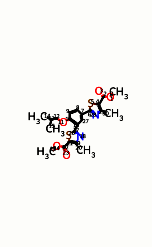 COC(=O)c1sc(-c2ccc(OCC(C)C)c(-c3nc(C)c(C(=O)OC)s3)c2)nc1C